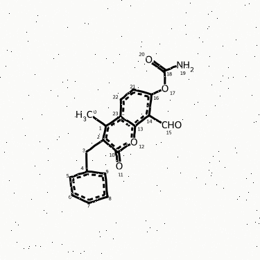 Cc1c(Cc2ccccc2)c(=O)oc2c(C=O)c(OC(N)=O)ccc12